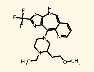 CCN1CCN(C2=c3ncccc3=CNc3sc(C(F)(F)F)nc32)CC1CCOC